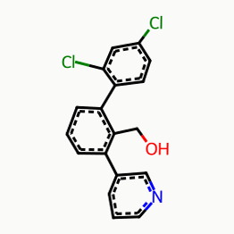 OCc1c(-c2cccnc2)cccc1-c1ccc(Cl)cc1Cl